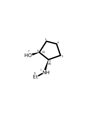 CCN[C@@H]1CCC[C@@H]1O